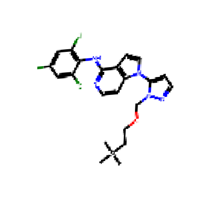 C[Si](C)(C)CCOCn1nccc1-n1ccc2c(Nc3c(Cl)cc(F)cc3Cl)nccc21